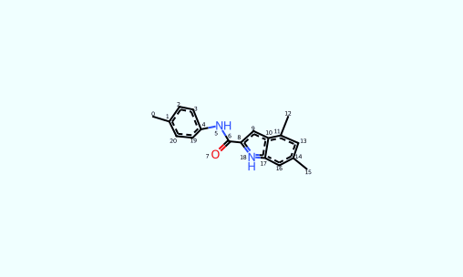 Cc1ccc(NC(=O)c2cc3c(C)cc(C)cc3[nH]2)cc1